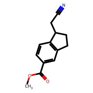 COC(=O)c1ccc2c(c1)CCC2CC#N